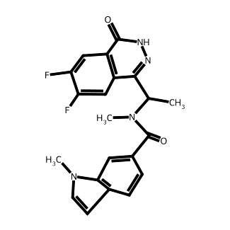 CC(c1n[nH]c(=O)c2cc(F)c(F)cc12)N(C)C(=O)c1ccc2ccn(C)c2c1